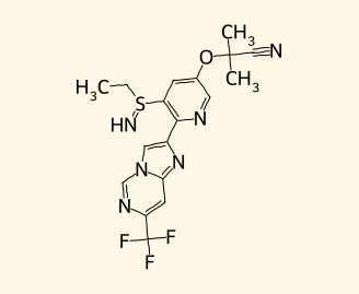 CCS(=N)c1cc(OC(C)(C)C#N)cnc1-c1cn2cnc(C(F)(F)F)cc2n1